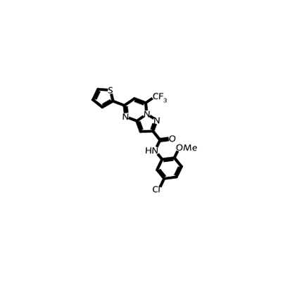 COc1ccc(Cl)cc1NC(=O)c1cc2nc(-c3cccs3)cc(C(F)(F)F)n2n1